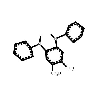 CCOC(=O)c1cc(N(C)c2ccccc2)c(N(C)c2ccccc2)cc1C(=O)O